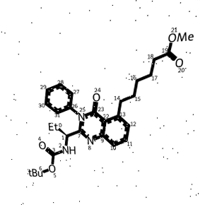 CC[C@H](NC(=O)OC(C)(C)C)c1nc2cccc(CCCCCC(=O)OC)c2c(=O)n1-c1ccccc1